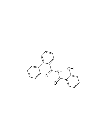 N=C(NC(=O)c1ccccc1O)c1ccccc1-c1ccccc1